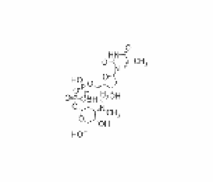 Cc1cn([C@H]2C[C@@H](O)[C@@H](COP(=O)(O)OP(=O)(O)O[C@H]3OC(CO)[C@@H](O)[C@H](N(C)C)C3O)O2)c(=O)[nH]c1=O